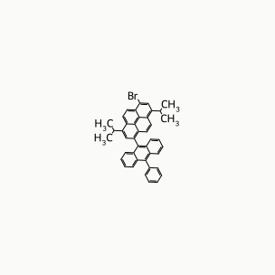 CC(C)c1cc(Br)c2ccc3c(C(C)C)cc(-c4c5ccccc5c(-c5ccccc5)c5ccccc45)c4ccc1c2c43